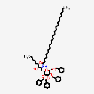 CCCCC=C[C@@H](O)[C@H](C[C@@H]1O[C@H](COCc2ccccc2)[C@H](OCc2ccccc2)[C@H](OCc2ccccc2)[C@H]1OCc1ccccc1)NC(=O)CCCCCCCCCCCCCCCCCCCCCCCCC